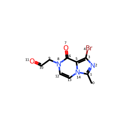 Cc1nc(Br)c2c(=O)n(CC=O)ccn12